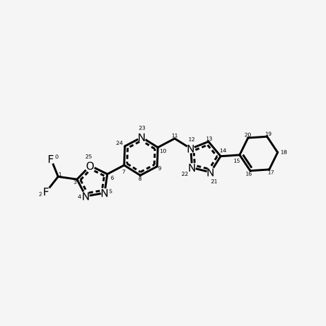 FC(F)c1nnc(-c2ccc(Cn3cc(C4=CCCCC4)nn3)nc2)o1